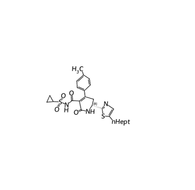 CCCCCCCc1cnc([C@H]2CC(c3ccc(C)cc3)=C(C(=O)NS(=O)(=O)C3CC3)C(=O)N2)s1